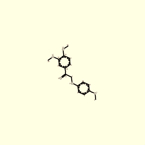 COc1ccc(OCC(=O)c2ccc(OC)c(OC)c2)cc1